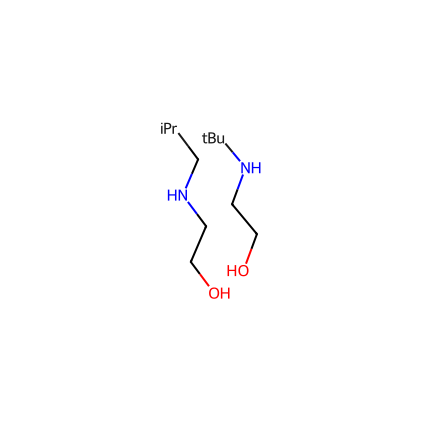 CC(C)(C)NCCO.CC(C)CNCCO